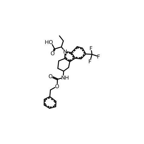 CCC(C(=O)O)n1c2c(c3cc(C(F)(F)F)ccc31)CC(NC(=O)OCc1ccccc1)CC2